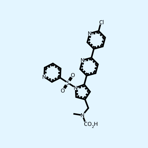 CN(Cc1cc(-c2ccc(-c3ccc(Cl)nc3)nc2)n(S(=O)(=O)c2cccnc2)c1)C(=O)O